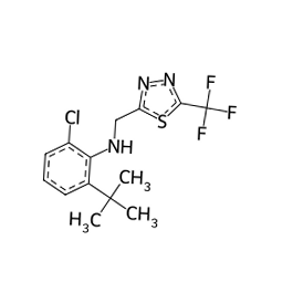 CC(C)(C)c1cccc(Cl)c1NCc1nnc(C(F)(F)F)s1